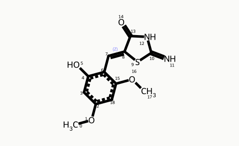 COc1cc(O)c(/C=C2\SC(=N)NC2=O)c(OC)c1